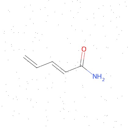 C=C/C=C/C(N)=O